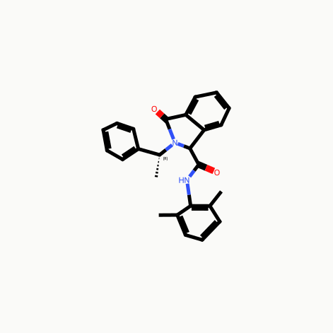 Cc1cccc(C)c1NC(=O)C1c2ccccc2C(=O)N1[C@H](C)c1ccccc1